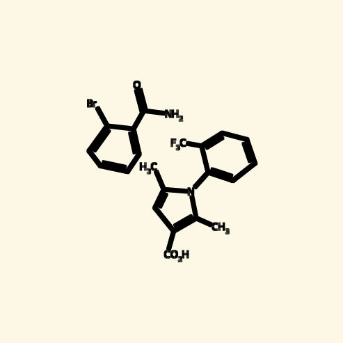 Cc1cc(C(=O)O)c(C)n1-c1ccccc1C(F)(F)F.NC(=O)c1ccccc1Br